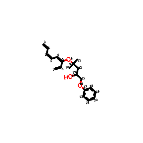 C=C/C=C\C=C(/C=C)OC(C)(C)CC(O)COc1ccccc1